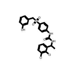 CC(NC(=O)Nc1ccc(S(=O)(=O)Cc2cccc(O)c2)cc1)c1cccc(Cl)c1Cl